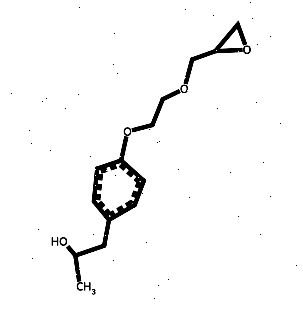 CC(O)Cc1ccc(OCCOCC2CO2)cc1